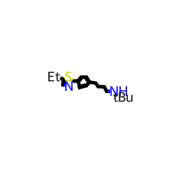 CCc1cnc(-c2ccc(CCCCNC(C)(C)C)cc2)s1